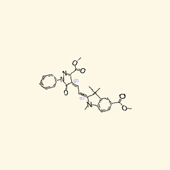 COC(=O)C1=NN(c2ccccc2)C(=O)/C1=C\C=C1\N(C)c2ccc(C(=O)OC)cc2C1(C)C